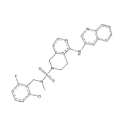 CN(Cc1c(F)cccc1Cl)S(=O)(=O)N1CCc2c(ccnc2Nc2cnc3ccccc3c2)C1